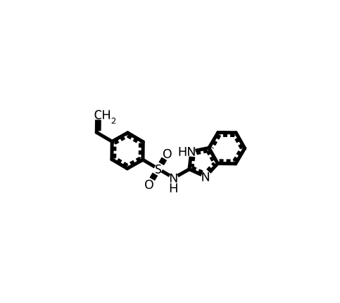 C=Cc1ccc(S(=O)(=O)Nc2nc3ccccc3[nH]2)cc1